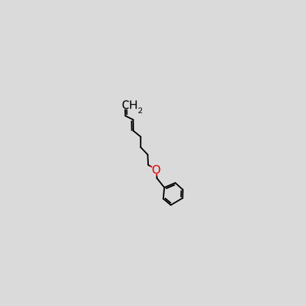 C=CC=CCCCCOCc1ccccc1